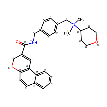 C[N+](C)(Cc1ccc(CNC(=O)C2=Cc3c(ccc4ccccc34)OC2)cc1)C1CCOCC1